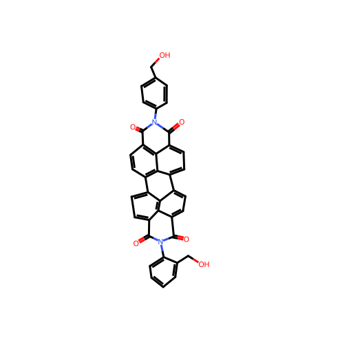 O=C1c2ccc3c4ccc5c6c(ccc(c7ccc(c2c37)C(=O)N1c1ccc(CO)cc1)c64)C(=O)N(c1ccccc1CO)C5=O